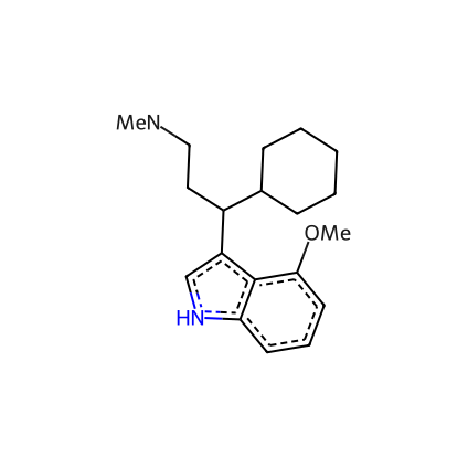 CNCCC(c1c[nH]c2cccc(OC)c12)C1CCCCC1